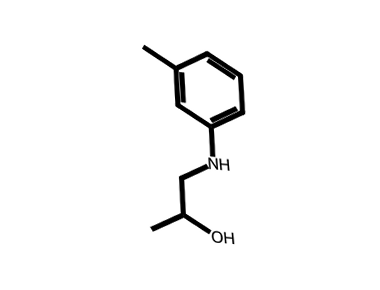 Cc1cccc(NCC(C)O)c1